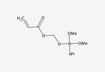 C=CC(=O)OCO[Si](CCC)(OC)OC